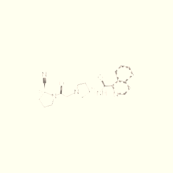 N#C[C@@H]1CCCN1C(=O)CN1CC[C@H](NC(=O)c2nccc3ccccc23)C1